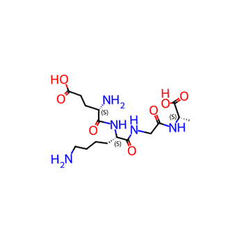 C[C@H](NC(=O)CNC(=O)[C@H](CCCCN)NC(=O)[C@@H](N)CCC(=O)O)C(=O)O